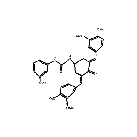 COc1cccc(NC(=O)NC2C/C(=C\c3ccc(OC)c(OC)c3)C(=O)/C(=C/c3ccc(OC)c(OC)c3)C2)c1